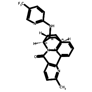 Cc1ccc(C(=O)N2C[C@@H]3CC[C@H]2[C@H](Nc2ccc(C(F)(F)F)cn2)C3)c(-c2ccccn2)n1